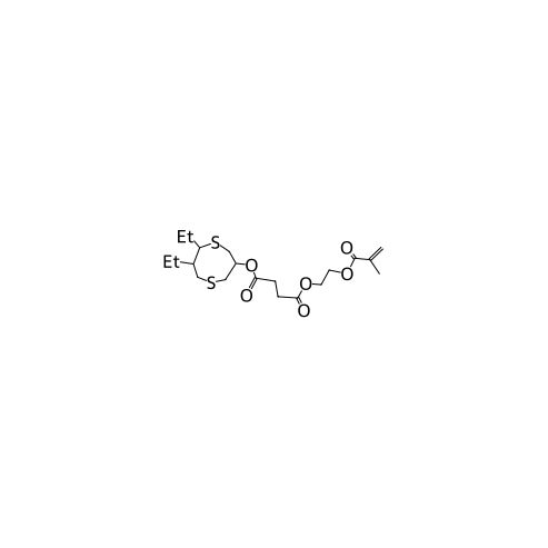 C=C(C)C(=O)OCCOC(=O)CCC(=O)OC1CSCC(CC)C(CC)SC1